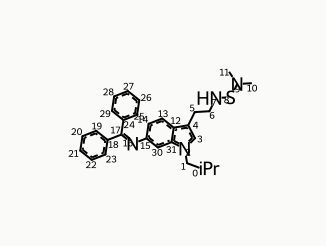 CC(C)Cn1cc(CCNSN(C)C)c2ccc(N=C(c3ccccc3)c3ccccc3)cc21